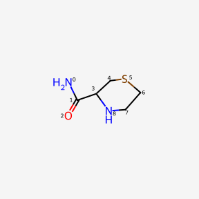 NC(=O)C1CSCCN1